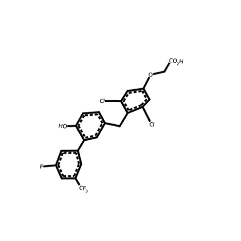 O=C(O)COc1cc(Cl)c(Cc2ccc(O)c(-c3cc(F)cc(C(F)(F)F)c3)c2)c(Cl)c1